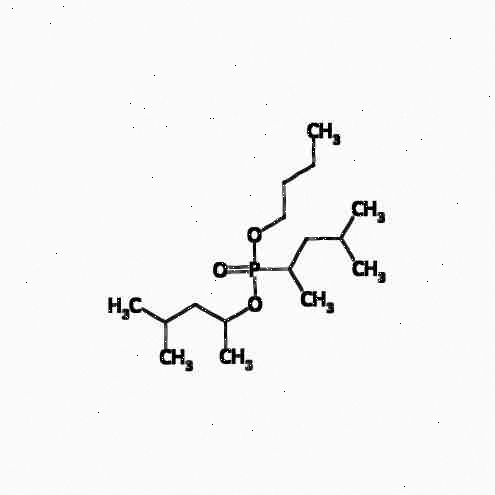 CCCCOP(=O)(OC(C)CC(C)C)C(C)CC(C)C